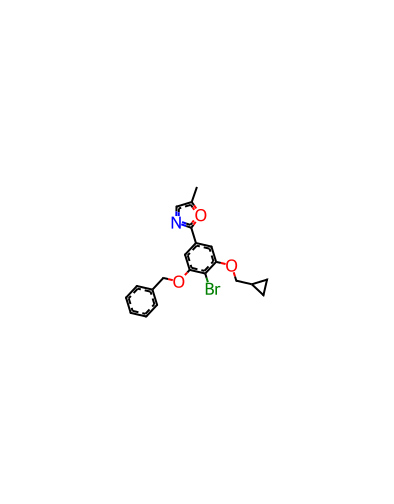 Cc1cnc(-c2cc(OCc3ccccc3)c(Br)c(OCC3CC3)c2)o1